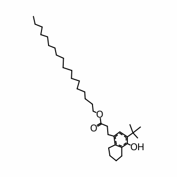 CCCCCCCCCCCCCCCCCCOC(=O)CCc1cc(C(C)(C)C)c(O)c2c1CCCC2